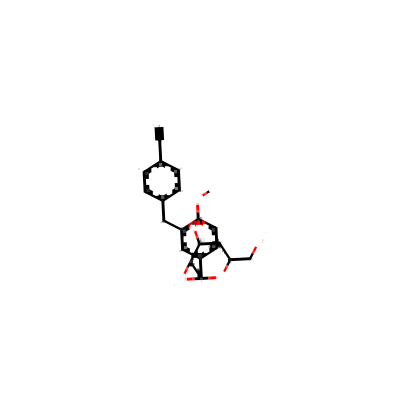 C#Cc1ccc(Cc2cc(C34OC(CO)CC(O)C3O4)ccc2OC)cc1